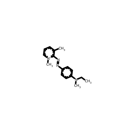 CCN(C)c1ccc(/N=N/c2c(C)ccc[n+]2C)cc1